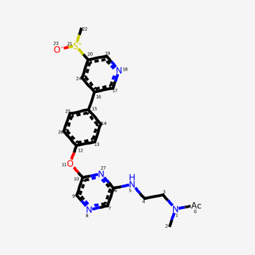 CC(=O)N(C)CCNc1cncc(Oc2ccc(-c3cncc([S+](C)[O-])c3)cc2)n1